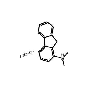 C[SiH](C)c1cccc2c1Cc1ccccc1-2.[Cl-].[Cl-].[Ti+2]